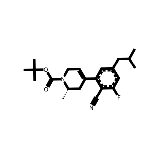 CC(C)Cc1cc(F)c(C#N)c(C2=CCN(C(=O)OC(C)(C)C)[C@@H](C)C2)c1